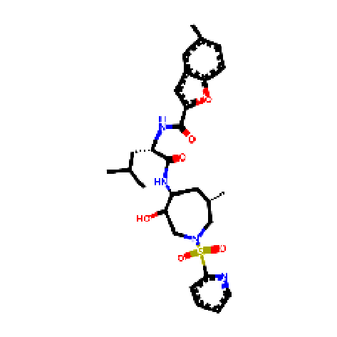 Cc1ccc2oc(C(=O)N[C@@H](CC(C)C)C(=O)N[C@H]3C[C@H](C)CN(S(=O)(=O)c4ccccn4)CC3O)cc2c1